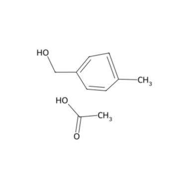 CC(=O)O.Cc1ccc(CO)cc1